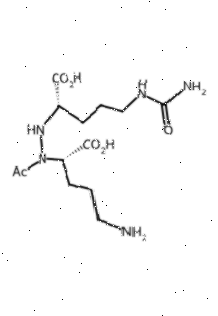 CC(=O)N(N[C@@H](CCCNC(N)=O)C(=O)O)[C@@H](CCCN)C(=O)O